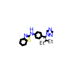 CCC(CC)[C@H](c1ccc(Nc2nc3ccccc3s2)cc1)n1cncn1